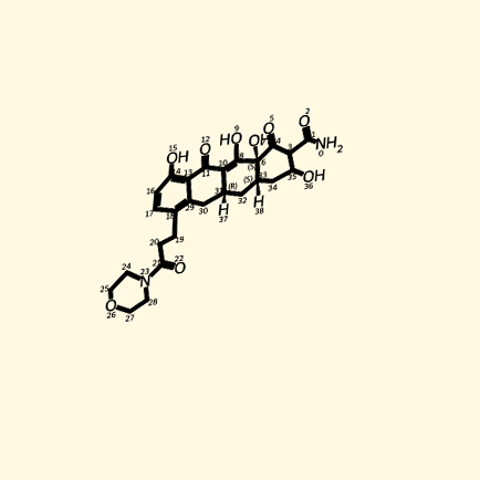 NC(=O)C1C(=O)[C@@]2(O)C(O)=C3C(=O)c4c(O)ccc(CCC(=O)N5CCOCC5)c4C[C@H]3C[C@H]2CC1O